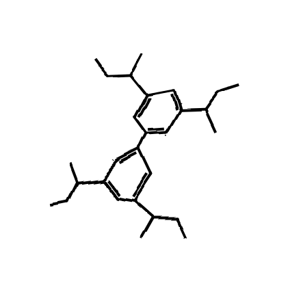 CCC(C)c1[c]c(-c2[c]c(C(C)CC)cc(C(C)CC)c2)cc(C(C)CC)c1